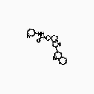 O=C(Nc1cccnc1)N1CC2(CCn3nc(-c4cnc5ccccc5c4)cc32)C1